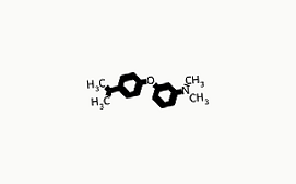 CC(C)c1ccc(Oc2cccc(N(C)C)c2)cc1